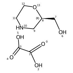 O=C(O)C(=O)O.OC[C@H]1CNCCO1